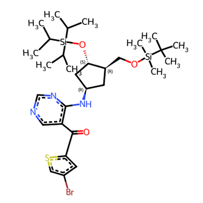 CC(C)[Si](O[C@H]1C[C@H](Nc2ncncc2C(=O)c2cc(Br)cs2)C[C@@H]1CO[Si](C)(C)C(C)(C)C)(C(C)C)C(C)C